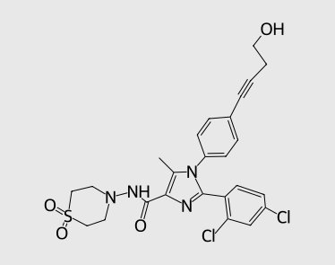 Cc1c(C(=O)NN2CCS(=O)(=O)CC2)nc(-c2ccc(Cl)cc2Cl)n1-c1ccc(C#CCCO)cc1